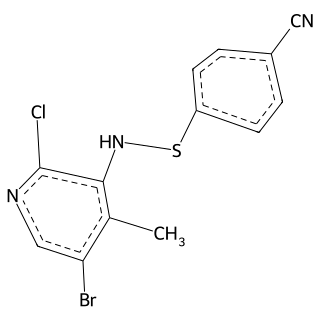 Cc1c(Br)cnc(Cl)c1NSc1ccc(C#N)cc1